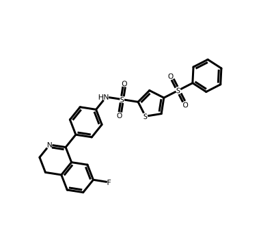 O=S(=O)(Nc1ccc(C2=NCCc3ccc(F)cc32)cc1)c1cc(S(=O)(=O)c2ccccc2)cs1